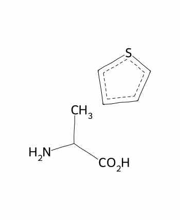 CC(N)C(=O)O.c1ccsc1